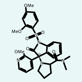 COc1ccc(S(=O)(=O)N2C(=O)[C@](c3cccnc3OC)(N3CCCC3C(=O)N(C)C)c3ccccc32)c(OC)c1